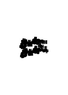 Cc1cc(-c2noc(-c3cncc4c3CCC(C)(C)C4)n2)cc(C)c1CC(O)CO.Cc1cc(-c2noc(-c3cncc4c3CCC(C)(C)C4)n2)cc(C)c1CCNCC(F)F